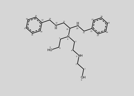 OCCNCCN(CCO)C(CNCc1ccccc1)NCc1ccccc1